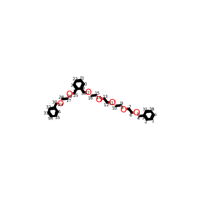 c1ccc(COCCOCCOCCOCCOCc2ccccc2COCCOCc2ccccc2)cc1